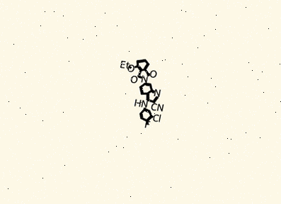 CCOc1cccc2c1C(=O)N(c1ccc3c(Nc4ccc(F)c(Cl)c4)c(C#N)cnc3c1)C2=O